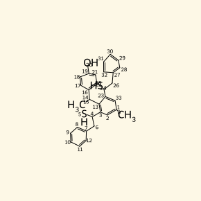 Cc1cc(C(S)Cc2ccccc2)c(C(C)c2ccc(O)cc2)c(C(S)Cc2ccccc2)c1